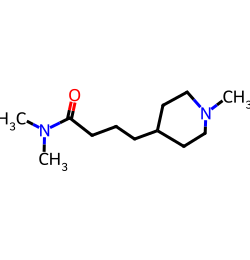 CN1CCC(CCCC(=O)N(C)C)CC1